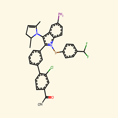 CC1=CCC(C)N1c1c(-c2cccc(-c3ccc(C(=O)N=O)cc3Cl)c2)n(Sc2ccc(C(F)F)cc2)c2ccc(P)cc12